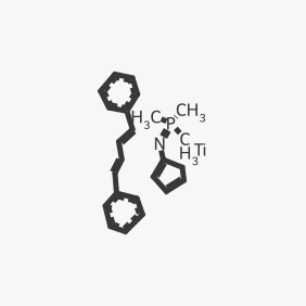 C(C=Cc1ccccc1)=Cc1ccccc1.CP(C)(C)=NC1=CC=CC1.[Ti]